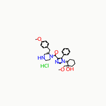 COC[C@]1(O)CCCC[C@H]1n1cnc(C(=O)N2CCNC[C@H]2Cc2ccc(OC)cc2)c1-c1ccccc1.Cl